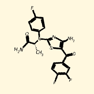 C[C@H](C(N)=O)N(c1ccc(F)cc1)c1nc(N)c(C(=O)c2ccc(F)c(F)c2)s1